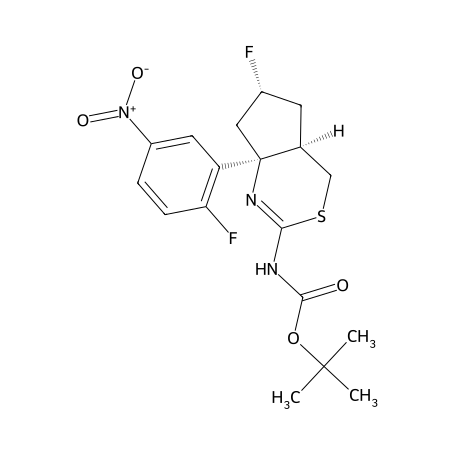 CC(C)(C)OC(=O)NC1=N[C@@]2(c3cc([N+](=O)[O-])ccc3F)C[C@H](F)C[C@H]2CS1